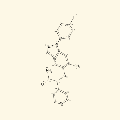 Cc1cc2c(cnn2-c2ccc(F)cc2)cc1O[C@H](c1ccccc1)[C@H](C)N